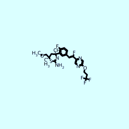 COC[C@@]1(C)C[C@@](C)(c2cc(/C=C(\F)c3cnc(OCCC(F)(F)F)cn3)ccc2F)N=C(N)S1